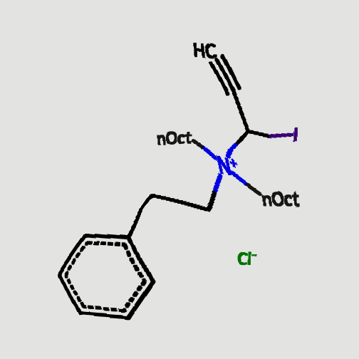 C#CC(I)[N+](CCCCCCCC)(CCCCCCCC)CCc1ccccc1.[Cl-]